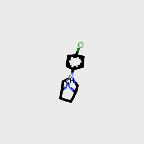 CN1C2CCC1CN(c1ccc(Cl)cc1)C2